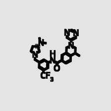 CC1CN(c2cncnc2)Cc2cc(C(=O)Nc3cc(CN4CC[C@@H](N(C)C)C4)cc(C(F)(F)F)c3)ccc21